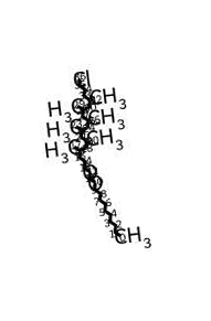 CCCCCCCCCCOCOCCCC(C)CC(C)CC(C)CC(C)CC(C)CC(C)CCCCl